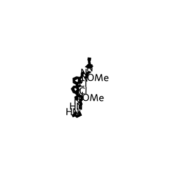 C#CC1CN(Cc2ncc(-c3cccc(C4(C)CC=CC(c5cnc(CNC[C@@H]6CCC(=C)N6)c(OC)n5)=C4Cl)c3Cl)nc2OC)C1